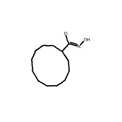 ON=C(Cl)C1CCCCCCCCCCC1